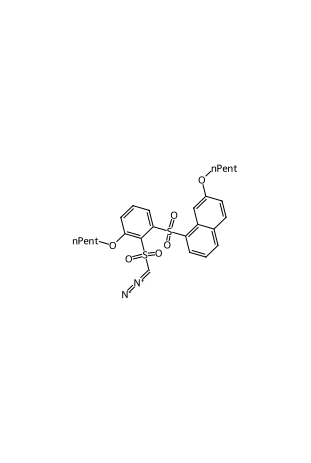 CCCCCOc1ccc2cccc(S(=O)(=O)c3cccc(OCCCCC)c3S(=O)(=O)C=[N+]=[N-])c2c1